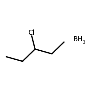 B.CCC(Cl)CC